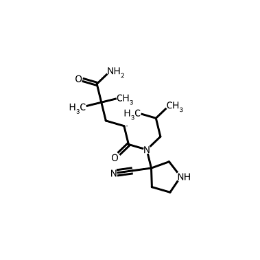 CC(C)CN(C(=O)[CH]CC(C)(C)C(N)=O)C1(C#N)CCNC1